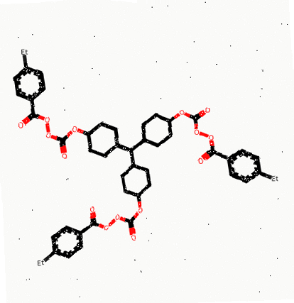 CCc1ccc(C(=O)OOC(=O)OC2CCC(C(C3CCC(OC(=O)OOC(=O)c4ccc(CC)cc4)CC3)C3CCC(OC(=O)OOC(=O)c4ccc(CC)cc4)CC3)CC2)cc1